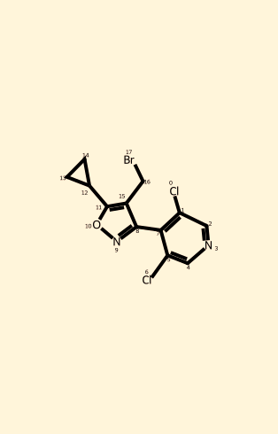 Clc1cncc(Cl)c1-c1noc(C2CC2)c1CBr